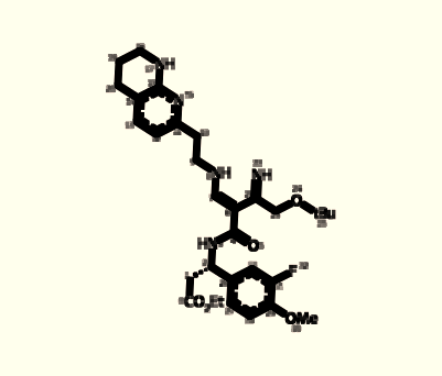 CCOC(=O)C[C@H](NC(=O)/C(=C/NCCc1ccc2c(n1)NCCC2)C(=N)COC(C)(C)C)c1ccc(OC)c(F)c1